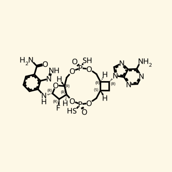 N=Nc1c(N[C@@H]2O[C@@H]3COP(=O)(S)OC[C@@H]4[C@@H](COP(=O)(S)O[C@H]3[C@H]2F)C[C@H]4n2cnc3c(N)ncnc32)cccc1C(N)=O